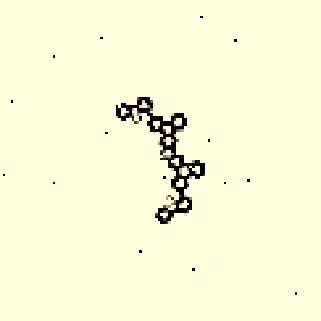 c1ccc2c(c1)oc1c(-c3ccc4c(c3)c3ccccc3c3cc5c(cc43)sc3cc4c6ccc(-c7cccc8c7oc7ccccc78)cc6c6ccccc6c4cc35)cccc12